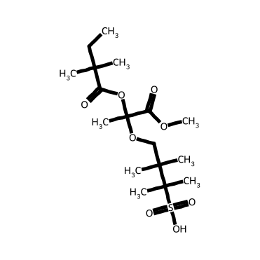 CCC(C)(C)C(=O)OC(C)(OCC(C)(C)C(C)(C)S(=O)(=O)O)C(=O)OC